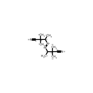 CC(N=NC(C)C(C)(C)C#N)C(C)(C)C#N